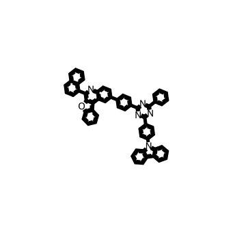 c1ccc(-c2nc(-c3ccc(-c4ccc5nc(-c6cccc7ccccc67)c6oc7ccccc7c6c5c4)cc3)nc(-c3ccc(-n4c5ccccc5c5ccccc54)cc3)n2)cc1